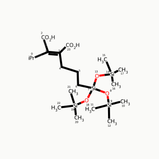 CC(C)C(C(=O)O)=C(CCC[Si](O[Si](C)(C)C)(O[Si](C)(C)C)O[Si](C)(C)C)C(=O)O